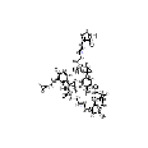 O=C1NCCN1C/C=C/CCS(=O)(=O)NC1(c2ccc(F)c(OCC3CC3CN3C(=O)CN(C/C=C/CCS(=O)(=O)NC4(c5ccc(F)c(OCC6CC6)c5)CC4)C3O)c2)CC1